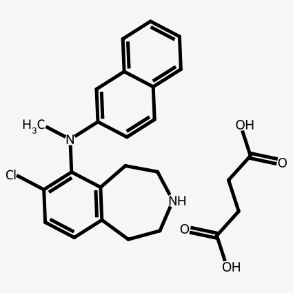 CN(c1ccc2ccccc2c1)c1c(Cl)ccc2c1CCNCC2.O=C(O)CCC(=O)O